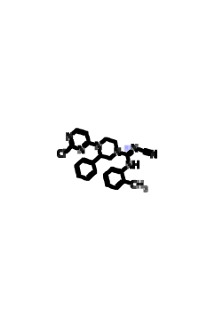 Cc1ccccc1N/C(=N\C#N)N1CCN(c2ccnc(Cl)n2)C(c2ccccc2)C1